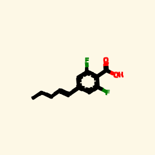 CCCC=Cc1cc(F)c(C(=O)O)c(F)c1